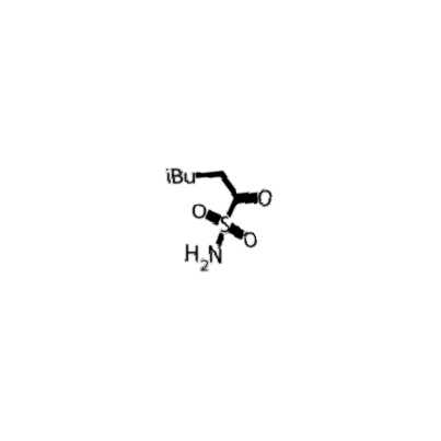 CCC(C)CC(=O)S(N)(=O)=O